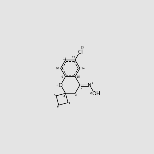 ON=C1CC2(CCC2)Oc2ccc(Cl)cc21